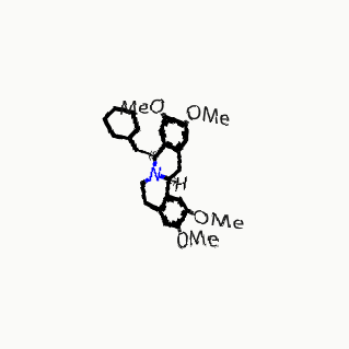 COc1cc2c(cc1OC)[C@@H]1Cc3cc(OC)c(OC)cc3[C@H](CC3CCCCC3)N1CC2